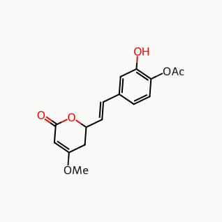 COC1=CC(=O)OC(/C=C/c2ccc(OC(C)=O)c(O)c2)C1